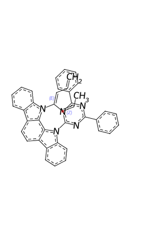 C=C/C=C(\C=C/C)n1c2ccccc2c2ccc3c4ccccc4n(-c4nc(-c5ccccc5)nc(-c5ccccc5)n4)c3c21